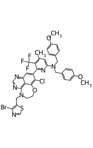 COc1ccc(CN(Cc2ccc(OC)cc2)c2cc(C)c(C(F)(F)F)c(-c3cc4ncnc5c4c(c3Cl)OCCN5Cc3scnc3Br)n2)cc1